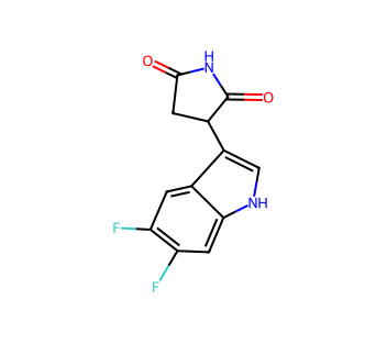 O=C1CC(c2c[nH]c3cc(F)c(F)cc23)C(=O)N1